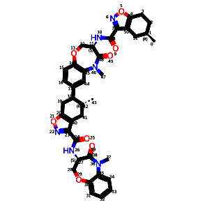 C[C@@H]1CCc2onc(C(=O)N[C@H]3COc4ccc(C5Cc6onc(C(=O)N[C@H]7COc8ccccc8N(C)C7=O)c6C[C@H]5C)cc4N(C)C3=O)c2C1